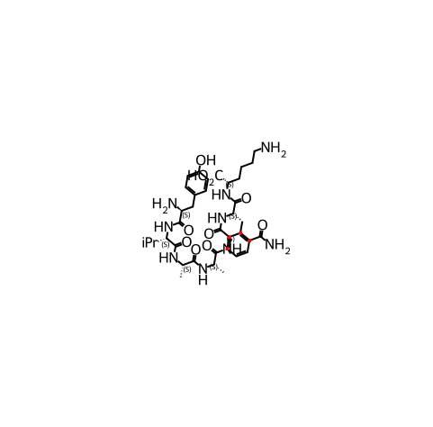 CC(C)[C@H](NC(=O)[C@@H](N)Cc1ccc(O)cc1)C(=O)N[C@@H](C)C(=O)N[C@@H](C)C(=O)N[C@@H](CCC(N)=O)C(=O)N[C@@H](Cc1ccccc1)C(=O)N[C@@H](CCCCN)C(=O)O